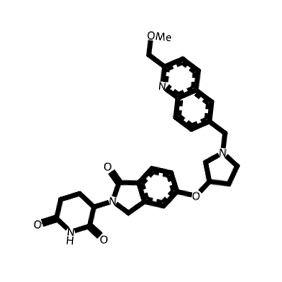 COCc1ccc2cc(CN3CCC(Oc4ccc5c(c4)CN(C4CCC(=O)NC4=O)C5=O)C3)ccc2n1